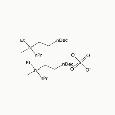 CCCCCCCCCCCC[N+](C)(CC)CCC.CCCCCCCCCCCC[N+](C)(CC)CCC.O=S(=O)([O-])[O-]